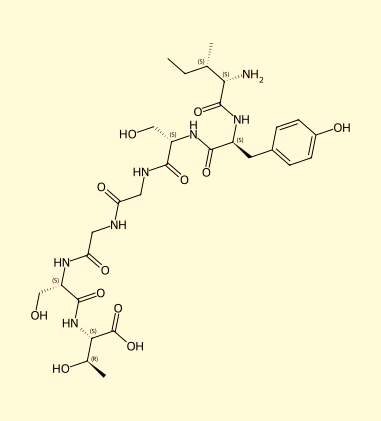 CC[C@H](C)[C@H](N)C(=O)N[C@@H](Cc1ccc(O)cc1)C(=O)N[C@@H](CO)C(=O)NCC(=O)NCC(=O)N[C@@H](CO)C(=O)N[C@H](C(=O)O)[C@@H](C)O